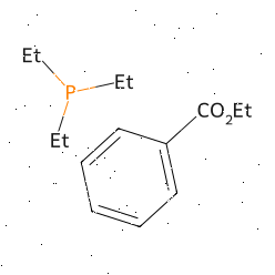 CCOC(=O)c1ccccc1.CCP(CC)CC